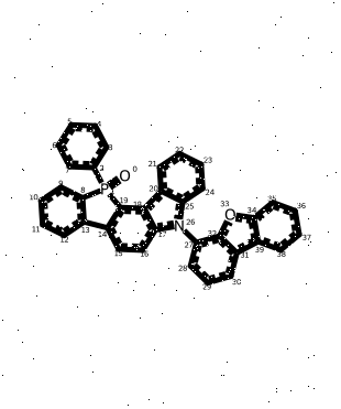 O=P1(c2ccccc2)c2ccccc2-c2ccc3c(c21)c1ccccc1n3-c1cccc2c1oc1ccccc12